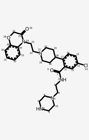 O=C(NCCN1CCNCC1)c1cc(Cl)ccc1C1CCN(CCN2C(=O)COc3ccccc32)CC1